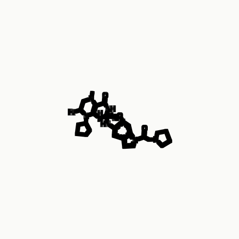 CCC1CN(C)C2=C(N[C@@](N)(Nc3cc4ccn(C(=O)CN5CCCC5)c4cc3OC)NC2=O)N1C1CCCC1